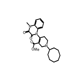 COC(=O)C1=C(n2c(=O)c(=O)n(C)c3ccccc32)CCN(C2CCCCCCC2)C1